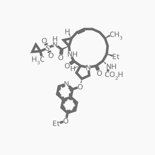 CCOc1ccc2c(O[C@@H]3C[C@H]4C(=O)N[C@]5(C(=O)NS(=O)(=O)C6(C)CC6)C[C@H]5C=CCC[C@@H](C)C[C@@H](CC)[C@H](NC(=O)O)C(=O)N4C3)nccc2c1